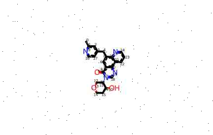 Cc1cc(Cc2cc3c(=O)n([C@H]4COCC[C@@H]4O)cnc3c3cccnc23)ccn1